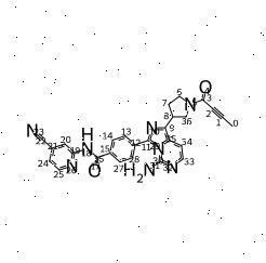 CC#CC(=O)N1CCC(c2nc(-c3ccc(C(=O)Nc4cc(C#N)ccn4)cc3)n3c(N)nccc23)C1